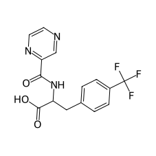 O=C(NC(Cc1ccc(C(F)(F)F)cc1)C(=O)O)c1cnccn1